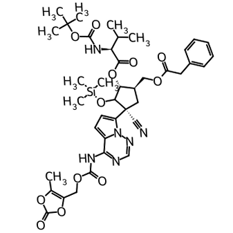 Cc1oc(=O)oc1COC(=O)Nc1ncnn2c([C@]3(C#N)C[C@H](COC(=O)Cc4ccccc4)[C@@H](OC(=O)[C@@H](NC(=O)OC(C)(C)C)C(C)C)C3O[Si](C)(C)C)ccc12